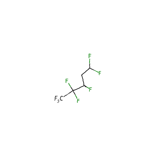 FC(F)CC(F)C(F)(F)C(F)(F)F